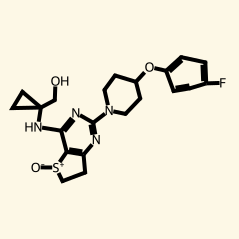 [O-][S+]1CCc2nc(N3CCC(Oc4ccc(F)cc4)CC3)nc(NC3(CO)CC3)c21